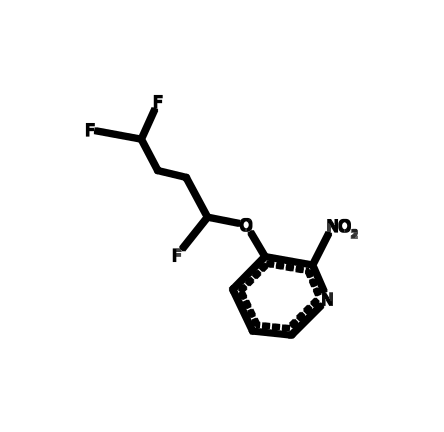 O=[N+]([O-])c1ncccc1OC(F)CCC(F)F